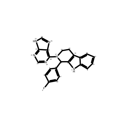 Fc1ccc(C2c3[nH]c4ccccc4c3CCN2c2ncnc3[nH]cnc23)cc1